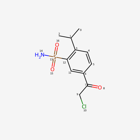 CC(C)c1ccc(C(=O)CCl)cc1S(N)(=O)=O